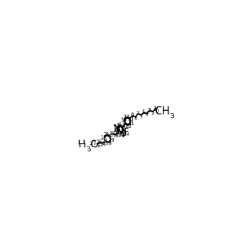 CCCCCCCCCCc1ccc(-c2cnc(CC[C@H]3CC[C@H](CCCC)CC3)nc2F)cc1